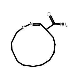 NC(=O)C1C=NCCCCCCCCCCCC1